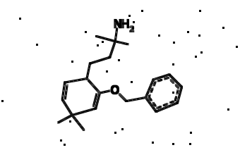 CC1(C)C=CC(CCC(C)(C)N)C(OCc2ccccc2)=C1